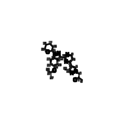 CC(=O)Cn1cc(-c2ccnc(-c3nn(C4CCCCO4)c4ccc(OC(C)C)cc34)n2)c(C)n1